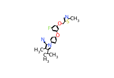 Cc1ncc(COc2cc(F)cc(Oc3ccc(-n4cc(C(C)C)c(C)c4C#N)cc3)c2)s1